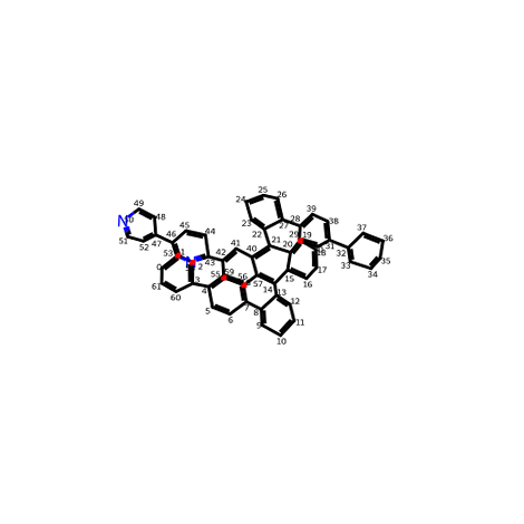 c1ccc(-c2ccc(-c3ccccc3-c3c4ccccc4c(-c4ccccc4-c4ccc(-c5ccccc5)cc4)c4cc(-c5ccc(-c6ccncc6)cn5)ccc34)cc2)cc1